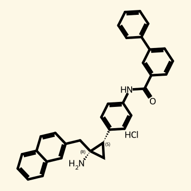 Cl.N[C@@]1(Cc2ccc3ccccc3c2)C[C@H]1c1ccc(NC(=O)c2cccc(-c3ccccc3)c2)cc1